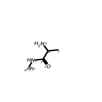 CC[CH]NC(=O)C(C)N